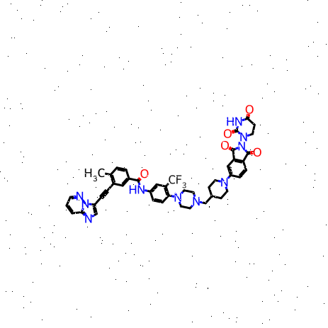 Cc1ccc(C(=O)Nc2ccc(N3CCN(CC4CCN(c5ccc6c(c5)C(=O)N(N5CCC(=O)NC5=O)C6=O)CC4)CC3)c(C(F)(F)F)c2)cc1C#Cc1cnc2cccnn12